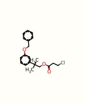 CC(C)(COC(=O)CCCl)c1cccc(OCc2ccccc2)c1